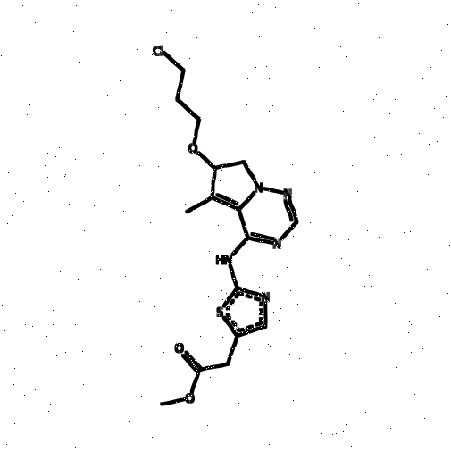 COC(=O)Cc1cnc(NC2=NC=NN3CC(OCCCCl)C(C)=C23)s1